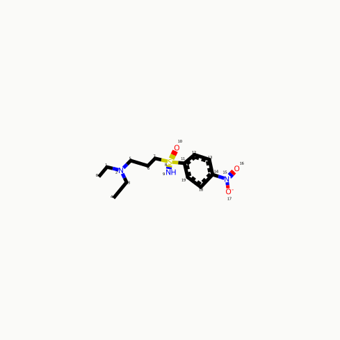 CCN(CC)CCCS(=N)(=O)c1ccc([N+](=O)[O-])cc1